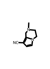 CN1CCn2ccc(C#N)c2C1